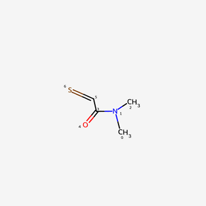 CN(C)C(=O)C=S